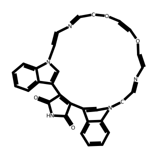 O=C1NC(=O)C2=C1c1cn(c3ccccc13)/C=C/N=C/CO/C=C\O/C=C/N=C/Cn1cc2c2ccccc21